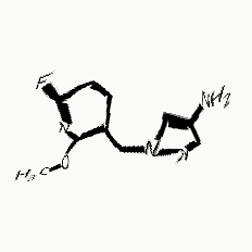 COc1nc(F)ccc1Cn1cc(N)cn1